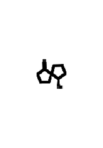 O=C1CCC[C@]12CCC[C@H]2O